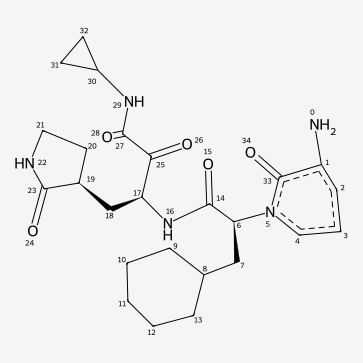 Nc1cccn([C@@H](CC2CCCCC2)C(=O)N[C@@H](C[C@@H]2CCNC2=O)C(=O)C(=O)NC2CC2)c1=O